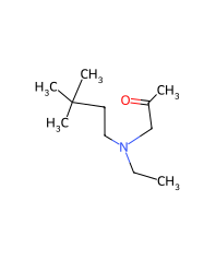 CCN(CCC(C)(C)C)CC(C)=O